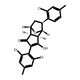 CCc1cc(C)cc(CC)c1C1=C(O)[C@@H]2[C@@H]3O[C@@H](C[C@H]3c3ccc(C)cc3Cl)[C@@H]2C1=O